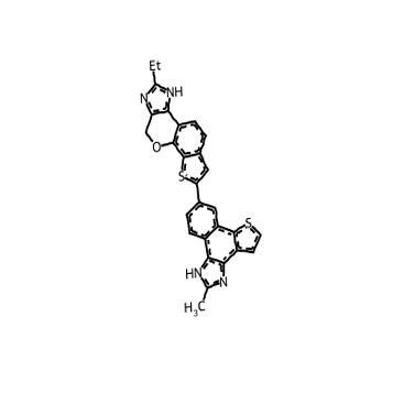 CCc1nc2c([nH]1)-c1ccc3cc(-c4ccc5c(c4)c4sccc4c4nc(C)[nH]c54)sc3c1OC2